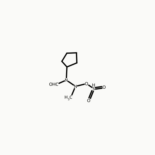 CN(O[SH](=O)=O)N(C=O)C1CCCC1